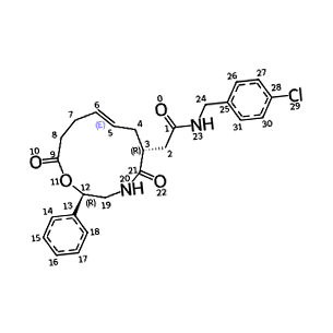 O=C(C[C@H]1C/C=C/CCC(=O)O[C@H](c2ccccc2)CNC1=O)NCc1ccc(Cl)cc1